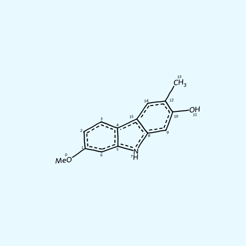 COc1ccc2c(c1)[nH]c1cc(O)c(C)cc12